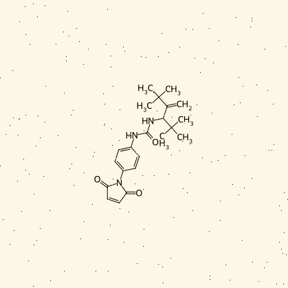 C=C(C(NC(=O)Nc1ccc(N2C(=O)C=CC2=O)cc1)C(C)(C)C)C(C)(C)C